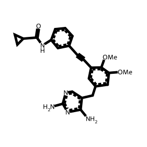 COc1cc(Cc2cnc(N)nc2N)cc(C#Cc2cccc(NC(=O)C3CC3)c2)c1OC